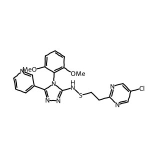 COc1cccc(OC)c1-n1c(NSCCc2ncc(Cl)cn2)nnc1-c1cccnc1